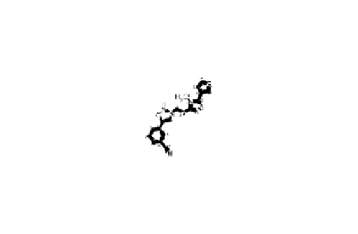 Cn1c(SCN2C=C(c3cccc(C#N)c3)ON2)nnc1-c1ccsc1